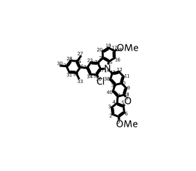 COc1ccc2c(c1)oc1cc3ccc(-n4c5cc(OC)ccc5c5cc(-c6c(C)cc(C)cc6C)cc(Cl)c54)cc3cc12